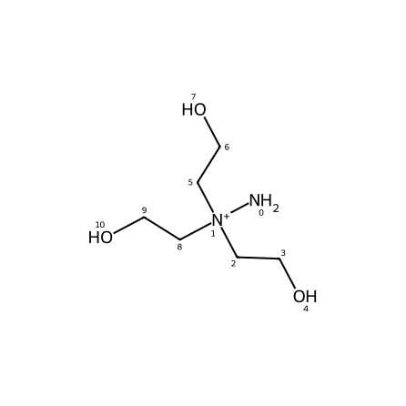 N[N+](CCO)(CCO)CCO